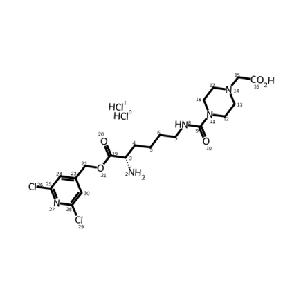 Cl.Cl.N[C@@H](CCCCNC(=O)N1CCN(CC(=O)O)CC1)C(=O)OCc1cc(Cl)nc(Cl)c1